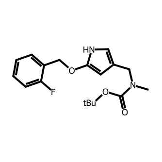 CN(Cc1c[nH]c(OCc2ccccc2F)c1)C(=O)OC(C)(C)C